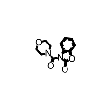 O=C(N1CCOCC1)n1c(=O)oc2ccccc21